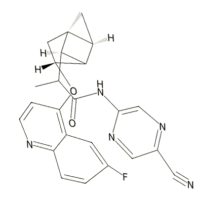 CC(C(=O)Nc1cnc(C#N)cn1)[C@@H]1C2[C@H](Oc3ccnc4ccc(F)cc34)C[C@]13C[C@@H]23